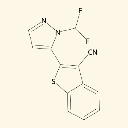 N#Cc1c(-c2ccnn2C(F)F)sc2ccccc12